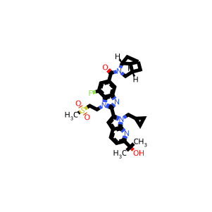 CC(C)(O)c1ccc2cc(-c3nc4cc(C(=O)N5C[C@H]6CC7C[C@@H]5[C@H]76)cc(F)c4n3CCS(C)(=O)=O)n(CC3CC3)c2n1